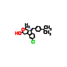 CC1=C(CC(=O)O)c2cc(Cl)ccc2/C1=C\c1ccc(C(C)C)cc1